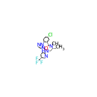 CC[C@@H](CNc1ccc(C(F)(F)F)cn1)N(C)C(=O)c1cc(Cl)ccc1-n1nccn1